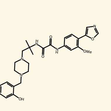 COc1cc(NC(=O)C(=O)NC(C)(C)CN2CCN(Cc3ccccc3O)CC2)ccc1-c1cnco1